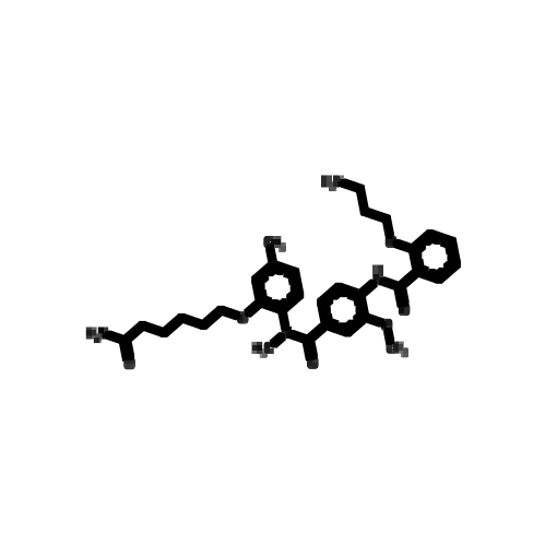 COc1cc(C(=O)N(C)c2ccc(C)cc2OCCCCCC(N)=O)ccc1NC(=O)c1ccccc1OCCCN